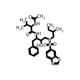 CCC(C)CN(CC(O)C(Cc1ccccc1)NC(=O)C(NC(C)=O)C(C)C)S(=O)(=O)c1ccc2ncsc2c1